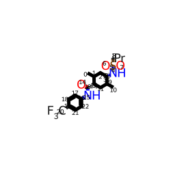 CC1C[C@@H](NS(=O)(=O)C(C)C)C(C)C[C@@H]1C(=O)Nc1ccc(C(F)(F)F)cc1